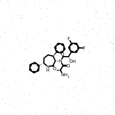 C[C@H](N)C(=O)N(C(=O)[C@@H](O)c1cc(F)cc(F)c1)[C@@H]1C(=O)N[C@H](c2ccccc2)CC[C@H]1c1ccccc1